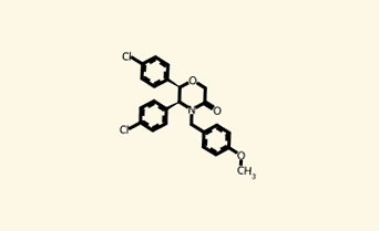 COc1ccc(CN2C(=O)CO[C@H](c3ccc(Cl)cc3)[C@@H]2c2ccc(Cl)cc2)cc1